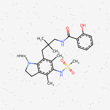 CCCCCCN1CCc2c(C)c(NS(C)(=O)=O)c(C)c(CC(C)(C)CNC(=O)c3ccccc3O)c21